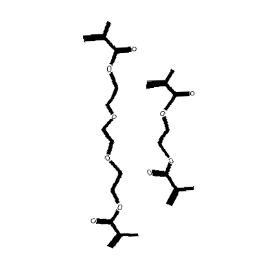 C=C(C)C(=O)OCCOC(=O)C(=C)C.C=C(C)C(=O)OCCOCCOCCOC(=O)C(=C)C